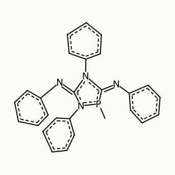 Cp1c(=Nc2ccccc2)n(-c2ccccc2)c(=Nc2ccccc2)n1-c1ccccc1